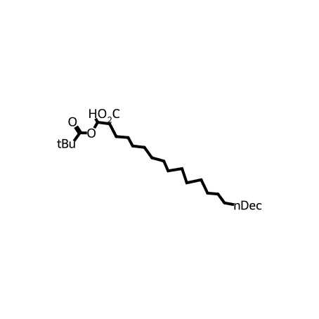 CCCCCCCCCCCCCCCCCCCCCCCCC(OC(=O)C(C)(C)C)C(=O)O